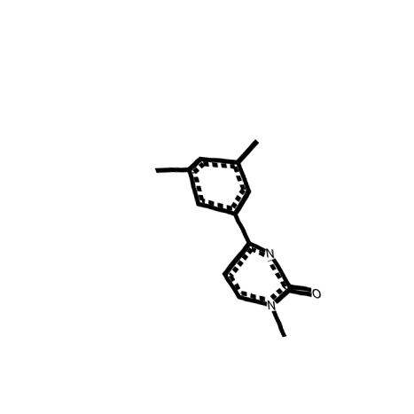 Cc1cc(C)cc(-c2ccn(C)c(=O)n2)c1